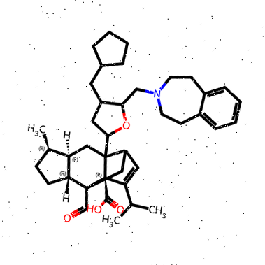 CC(C)C1=CC2CC3(C=O)[C@@H]4CC[C@@H](C)[C@H]4CC2(C2CC(CC4CCCC4)C(CN4CCc5ccccc5CC4)O2)[C@]13C(=O)O